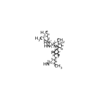 C=C1C=C(C(C=N)CNC(CCC)CCCC)N=C2C(c3cc(F)c(CCC(CCC)CCC=N)c(F)c3)=CC=CC12